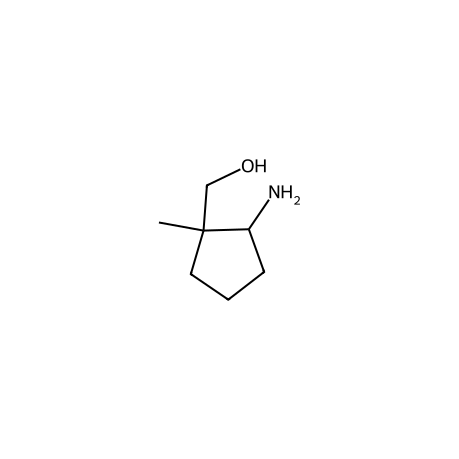 CC1(CO)CCCC1N